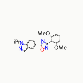 COc1cccc(OC)c1-c1noc(-c2ccc3c(cnn3C(C)C)c2)n1